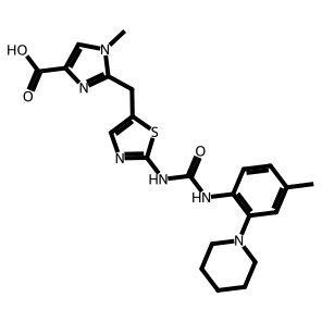 Cc1ccc(NC(=O)Nc2ncc(Cc3nc(C(=O)O)cn3C)s2)c(N2CCCCC2)c1